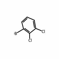 [B]c1cccc(Cl)c1Cl